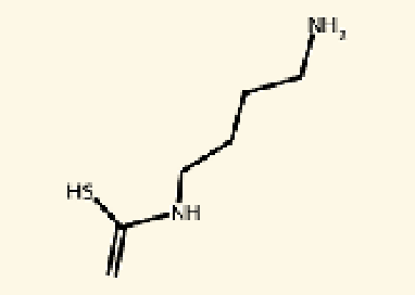 C=C(S)NCCCCN